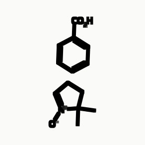 CC1(C)CCC=[N+]1[O-].O=C(O)c1ccccc1